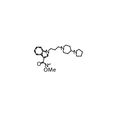 CON(C)C(=O)c1cn(CCCN2CCC(N3CCCC3)CC2)c2ccccc12